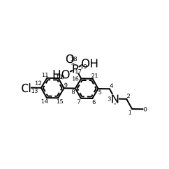 CCC[N]Cc1ccc(-c2ccc(Cl)cc2)c(P(=O)(O)O)c1